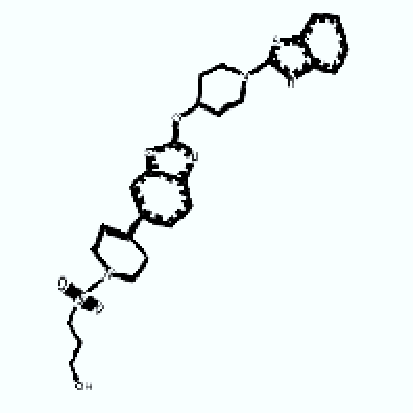 O=S(=O)(CCCO)N1CC=C(c2ccc3nc(OC4CCN(c5nc6ccccc6s5)CC4)sc3c2)CC1